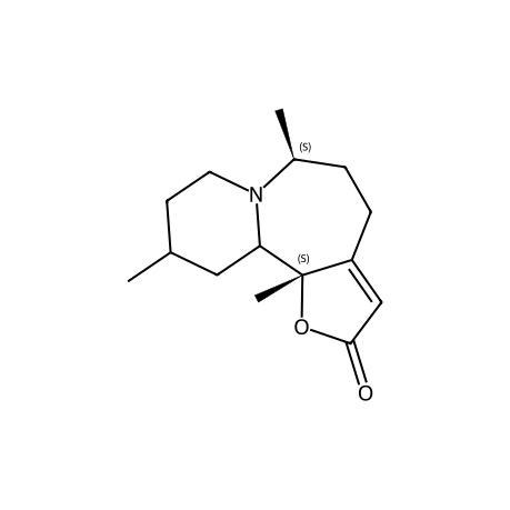 CC1CCN2C(C1)[C@@]1(C)OC(=O)C=C1CC[C@@H]2C